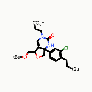 CC(C)(C)CCc1ccc(C23COC(COC(C)(C)C)C2=CN(CCC(=O)O)C(=O)N3)cc1Cl